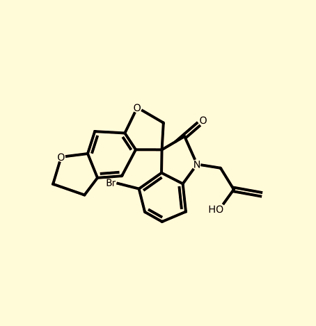 C=C(O)CN1C(=O)C2(COc3cc4c(cc32)CCO4)c2c(Br)cccc21